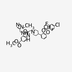 CCn1cncc1CNc1cc(C(=O)OC)ccc1NC(=O)CN1CCC(c2cccc3c2OC(C)(c2ccc(Cl)cc2F)O3)CC1